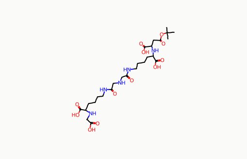 CC(C)(C)OC(=O)CC(NC(CCCCNC(=O)CNCC(=O)NCCCCC(NCC(=O)O)C(=O)O)C(=O)O)C(=O)O